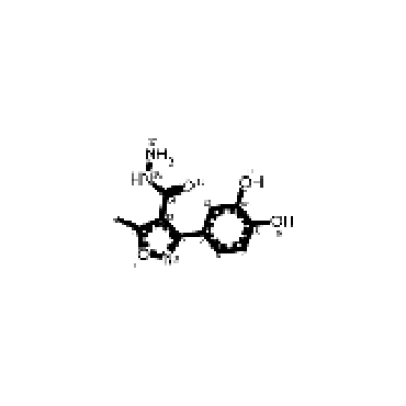 Cc1onc(-c2ccc(O)c(O)c2)c1C(=O)NN